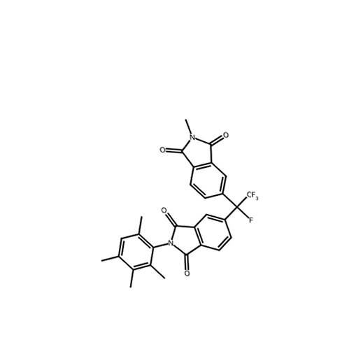 Cc1cc(C)c(N2C(=O)c3ccc(C(F)(c4ccc5c(c4)C(=O)N(C)C5=O)C(F)(F)F)cc3C2=O)c(C)c1C